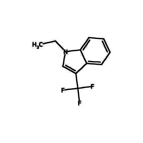 CCn1cc(C(F)(F)F)c2ccccc21